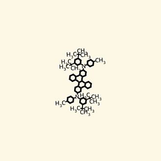 Cc1ccc(N(c2cc(C(C)(C)C)cc(C(C)(C)C)c2)c2ccc3c(c2)c2ccccc2c2c4ccc(N(c5ccc(C)cc5)c5cc(C(C)(C)C)cc(C(C)(C)C)c5)cc4c4ccccc4c32)cc1